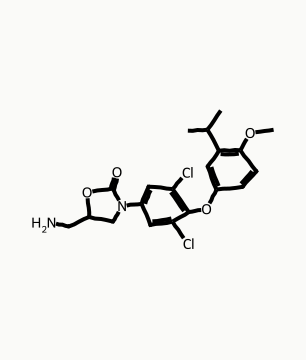 COc1ccc(Oc2c(Cl)cc(N3CC(CN)OC3=O)cc2Cl)cc1C(C)C